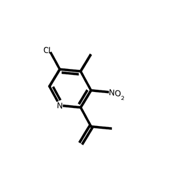 C=C(C)c1ncc(Cl)c(C)c1[N+](=O)[O-]